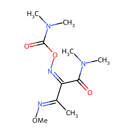 CO/N=C(C)/C(=N/OC(=O)N(C)C)C(=O)N(C)C